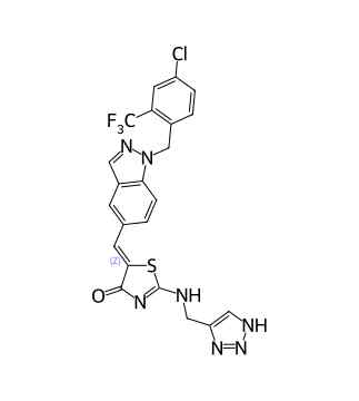 O=C1N=C(NCc2c[nH]nn2)S/C1=C\c1ccc2c(cnn2Cc2ccc(Cl)cc2C(F)(F)F)c1